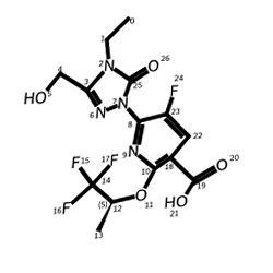 CCn1c(CO)nn(-c2nc(O[C@@H](C)C(F)(F)F)c(C(=O)O)cc2F)c1=O